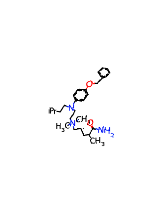 CC(C)CCN(CC[N+](C)(C)C[CH]CC(C)C(N)=O)c1ccc(OCc2ccccc2)cc1